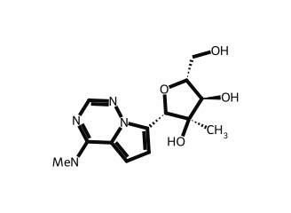 CNc1ncnn2c([C@@H]3O[C@H](CO)[C@@H](O)[C@@]3(C)O)ccc12